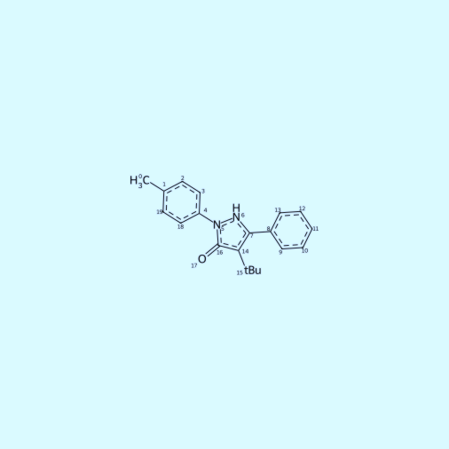 Cc1ccc(-n2[nH]c(-c3ccccc3)c(C(C)(C)C)c2=O)cc1